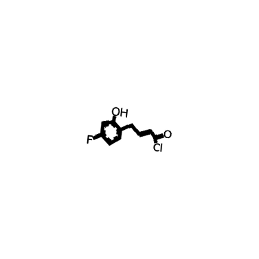 O=C(Cl)C=CCc1ccc(F)cc1O